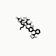 CCCC1(Cc2oc(=O)oc2C)NC(C(C)O)=C(C(=O)O)N1Cc1ccc(-c2ccccc2-c2nnn[nH]2)cc1